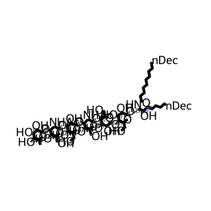 CCCCCCCCCCCCC/C=C/[C@@H](O)[C@H](CO[C@@H]1OC(CO)[C@@H](O[C@@H]2OC(CO)[C@H](O[C@@H]3OC(CO)[C@H](O)[C@H](O[C@@H]4OC(CO)[C@H](O)[C@H](O[C@@H]5OC(CO)[C@@H](O)[C@H](O[C@H]6OC(C)[C@@H](O)C(O)[C@@H]6O)C5NC(C)=O)C4O)C3NC(C)=O)[C@H](O)C2O)[C@H](O)C1O)NC(=O)CCCCCCCCCCCCCCCCCCC